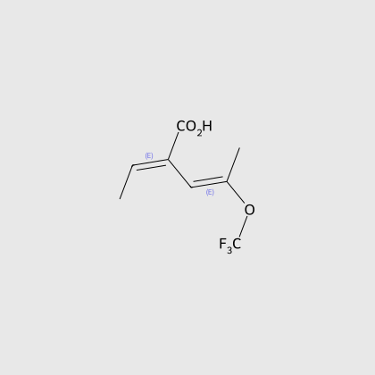 C/C=C(\C=C(/C)OC(F)(F)F)C(=O)O